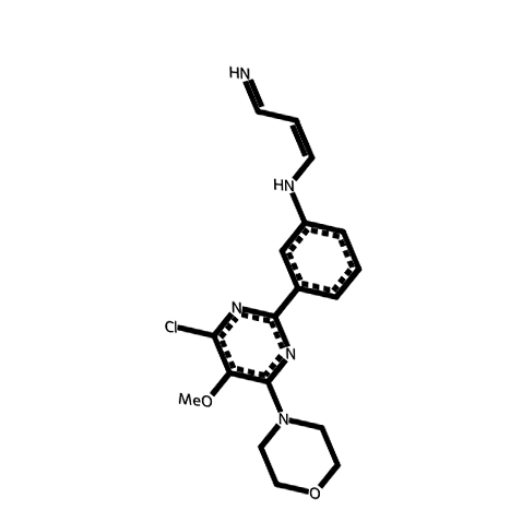 COc1c(Cl)nc(-c2cccc(N/C=C\C=N)c2)nc1N1CCOCC1